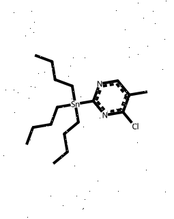 CCC[CH2][Sn]([CH2]CCC)([CH2]CCC)[c]1ncc(C)c(Cl)n1